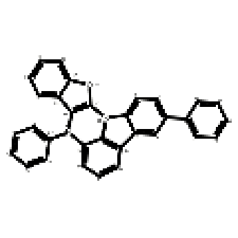 c1ccc(-c2ccc3c(c2)-c2cccc4c2B3c2oc3ccccc3c2N4c2ccccc2)cc1